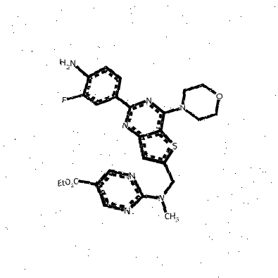 CCOC(=O)c1cnc(N(C)Cc2cc3nc(-c4ccc(N)c(F)c4)nc(N4CCOCC4)c3s2)nc1